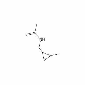 C=C(C)NCC1CC1C